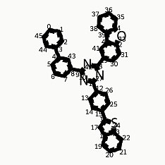 c1ccc(-c2cccc(-c3nc(-c4ccc(-c5cc6ccccc6s5)cc4)nc(-c4ccc5oc6ccccc6c5c4)n3)c2)cc1